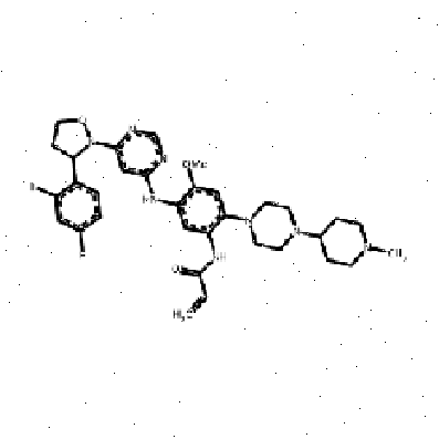 C=CC(=O)Nc1cc(Nc2cc(N3OCCC3c3ccc(F)cc3F)ncn2)c(OC)cc1N1CCN(C2CCN(C)CC2)CC1